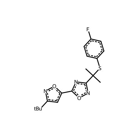 CC(C)(C)c1cc(-c2nc(C(C)(C)Sc3ccc(F)cc3)no2)on1